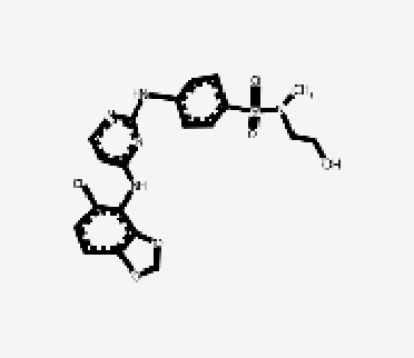 CN(CCO)S(=O)(=O)c1ccc(Nc2nccc(Nc3c(Cl)ccc4c3OCO4)n2)cc1